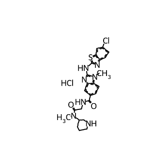 CN(C(=O)CNC(=O)c1ccc2c(c1)nc(Nc1nc3ccc(Cl)cc3s1)n2C)C1CCCNC1.Cl